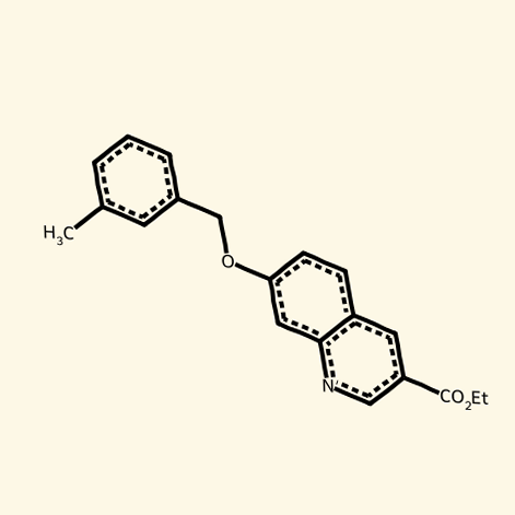 CCOC(=O)c1cnc2cc(OCc3cccc(C)c3)ccc2c1